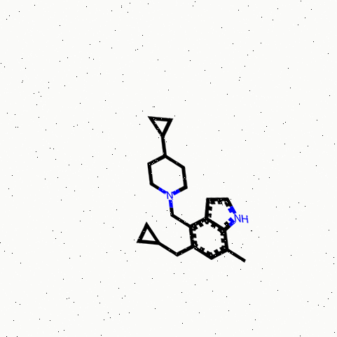 Cc1cc(CC2CC2)c(CN2CCC(C3CC3)CC2)c2cc[nH]c12